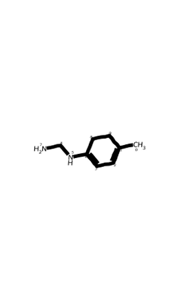 CC1=CC=C(NCN)CC1